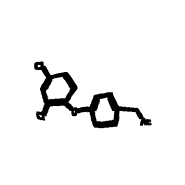 CC(=O)Cc1ccc(Oc2ccc(Cl)cc2Cl)cc1